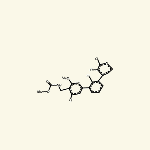 COc1nc(-c2cccc(-c3ccnc(Cl)c3Cl)c2Cl)cc(Cl)c1CNC(=O)OC(C)(C)C